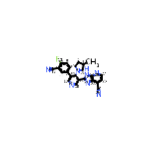 CC1CCN(c2c(-c3ccc(F)c(C#N)c3)cncc2-c2nc3c(C#N)ccnc3[nH]2)C1